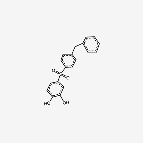 O=S(=O)(c1ccc(Cc2ccccc2)cc1)c1ccc(O)c(O)c1